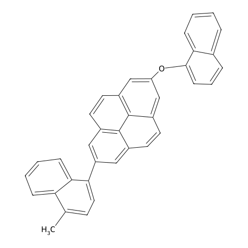 Cc1ccc(-c2cc3ccc4cc(Oc5cccc6ccccc56)cc5ccc(c2)c3c45)c2ccccc12